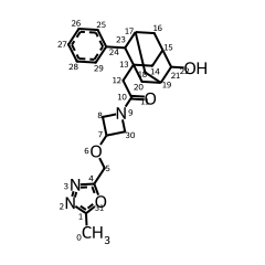 Cc1nnc(COC2CN(C(=O)CC34CC5CC(CC(C3)C5O)C4c3ccccc3)C2)o1